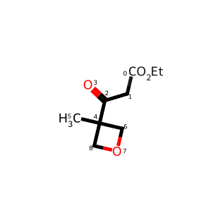 CCOC(=O)CC(=O)C1(C)COC1